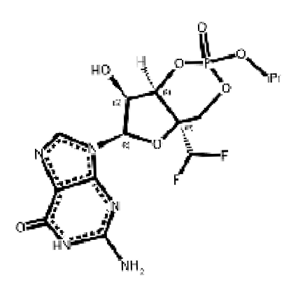 CC(C)OP1(=O)OC[C@@]2(C(F)F)O[C@@H](n3cnc4c(=O)[nH]c(N)nc43)[C@@H](O)[C@H]2O1